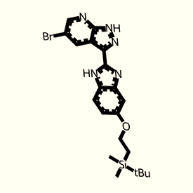 CC(C)(C)[Si](C)(C)CCOc1ccc2[nH]c(-c3n[nH]c4ncc(Br)cc34)nc2c1